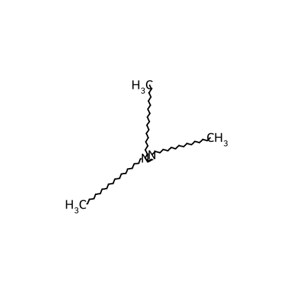 CCCCCCCCCCCCCCCCCCCN1C=CN(CCCCCCCCCCCCCCC)C1CCCCCCCCCCCCCCCCC